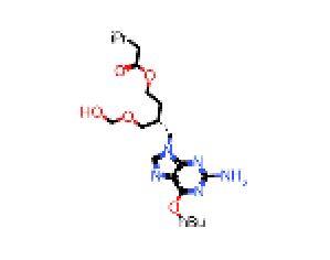 CCCCOc1nc(N)nc2c1ncn2C[C@@H](CCOC(=O)CC(C)C)COCO